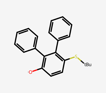 CC(C)(C)Sc1ccc([O])c(-c2ccccc2)c1-c1ccccc1